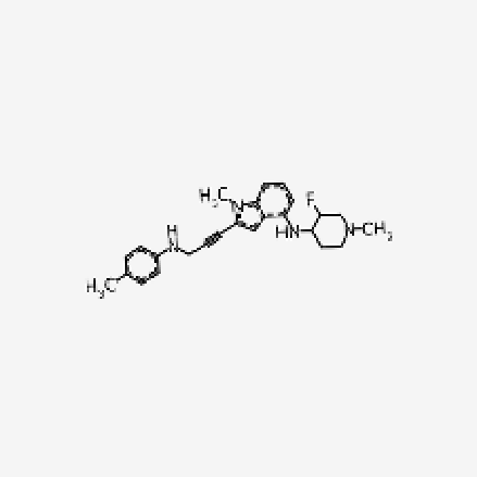 Cc1ccc(NCC#Cc2cc3c(NC4CCN(C)CC4F)cccc3n2C)cc1